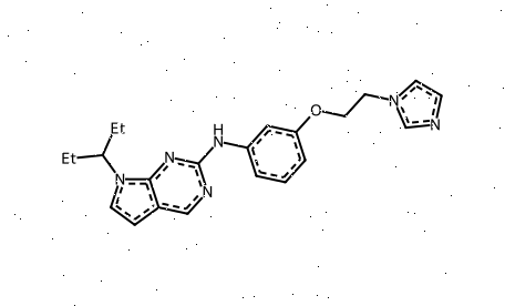 CCC(CC)n1ccc2cnc(Nc3cccc(OCCn4ccnc4)c3)nc21